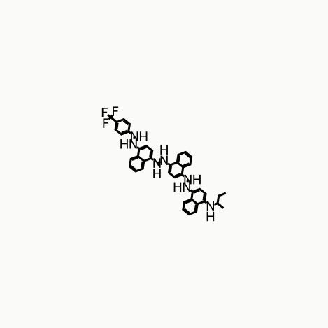 CCC(C)Nc1ccc(NNc2ccc(NNc3ccc(NNc4ccc(C(F)(F)F)cc4)c4ccccc34)c3ccccc23)c2ccccc12